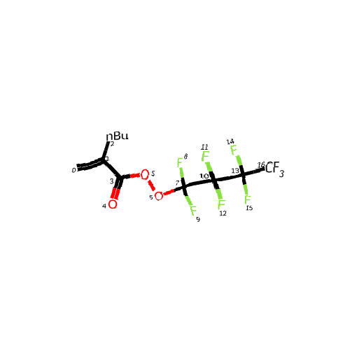 C=C(CCCC)C(=O)OOC(F)(F)C(F)(F)C(F)(F)C(F)(F)F